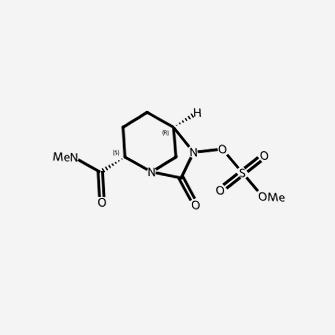 CNC(=O)[C@@H]1CC[C@@H]2CN1C(=O)N2OS(=O)(=O)OC